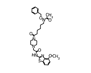 COc1cccc2sc(NC(=O)CN3CCN(C(=O)CCCCCN(OCc4ccccc4)C(C)=O)CC3)nc12